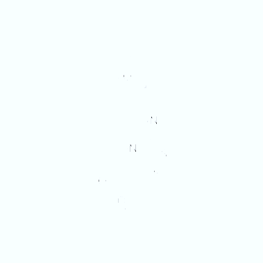 CC(C)OCCN(C)c1nc(C2OC(C)O2)cs1